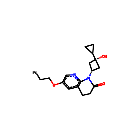 CC(C)CCOc1cnc2c(c1)CCC(=O)N2[C@H]1C[C@](O)(C2CC2)C1